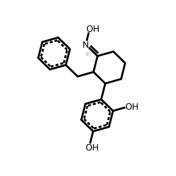 O/N=C1\CCCC(c2ccc(O)cc2O)C1Cc1ccccc1